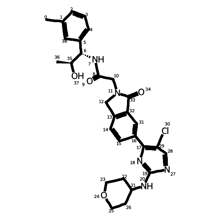 Cc1cccc([C@H](NC(=O)CN2Cc3ccc(-c4nc(NC5CCOCC5)ncc4Cl)cc3C2=O)[C@H](C)O)c1